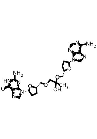 CC(O)(COC[C@@H]1CC[C@H](n2cnc3c(=O)[nH]c(N)nc32)O1)OC[C@@H]1CC[C@H](n2cnc3c(N)ncnc32)O1